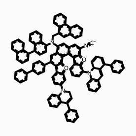 [C-]#[N+]c1cc2cc(N(Cc3cc4ccccc4c4ccccc34)c3ccc(-c4cccc5ccccc45)c4ccccc34)c3cc(-c4ccc(-c5ccccc5)cc4)c4c5ccc(N6CC=C(c7ccccc7)c7ccccc76)cc5oc4c3c2c2c1oc1c(N3c4ccccc4C=C4C(c5ccccc5)=CC=CC43)cccc12